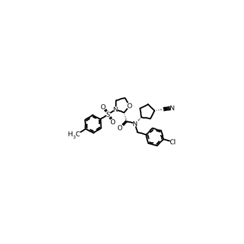 Cc1ccc(S(=O)(=O)N2CCO[C@@H]2C(=O)N(Cc2ccc(Cl)cc2)[C@@H]2CC[C@H](C#N)C2)cc1